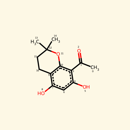 CC(=O)c1c(O)cc(O)c2c1OC(C)(C)CC2